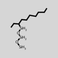 CCCCCCCC(CC)[SiH2]O[SiH2]O[SiH3]